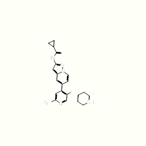 N#Cc1cc(-c2ccn3nc(NC(=O)C4CC4)cc3c2)c(O[C@H]2CCN[C@@H](C(F)(F)F)C2)cn1